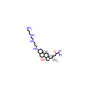 CCN(CC)C(=O)CC[C@@H](C)[C@H]1CCC2C3C(CC[C@@]21C)[C@@]1(C)CC[C@H](NCCCNCCNCCCN)CC1C[C@H]3O